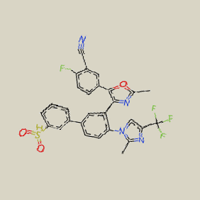 Cc1nc(-c2cc(-c3cccc([SH](=O)=O)c3)ccc2-n2cc(C(F)(F)F)nc2C)c(-c2ccc(F)c(C#N)c2)o1